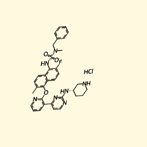 Cc1ccc2c(NS(=O)(=O)N(C)Cc3ccccc3)c(F)ccc2c1Oc1ncccc1-c1ccnc(N[C@H]2CCCNC2)n1.Cl